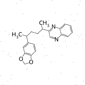 CC(CCC(C)c1cnc2ccccc2n1)c1ccc2c(c1)OCO2